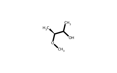 CO[C@@H](C)C(C)O